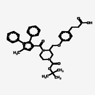 Cc1cc(C(=O)N2CCN(C(=O)OC(C)(C)C)CC2COc2ccc(CCC(=O)O)cc2)c(-c2ccccc2)n1-c1ccccc1